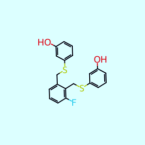 Oc1cccc(SCc2cccc(F)c2CSc2cccc(O)c2)c1